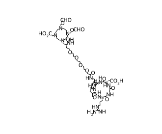 N=C(N)NCCC[C@@H]1NC(=O)[C@@H]2CC[C@H]3C[C@@H](CNC(=O)COCCOCCOCCOCCC(CN4CCN(COC=O)CCN(COC=O)CCN(CC(=O)O)CC4)NO)[C@@H](NC(=O)[C@H](CC(=O)O)NC(=O)CNC1=O)C(=O)N32